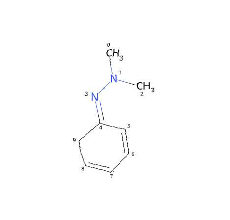 CN(C)N=C1C=C[C]=CC1